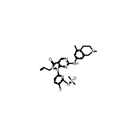 C=CCn1c(=O)c2cnc(Nc3cc(C)c4c(c3)CN(C)CC4)nc2n1-c1ccc(F)c(N=S(C)(C)=O)n1